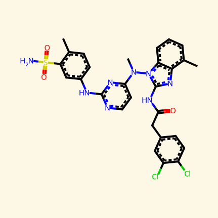 Cc1ccc(Nc2nccc(N(C)n3c(NC(=O)Cc4ccc(Cl)c(Cl)c4)nc4c(C)cccc43)n2)cc1S(N)(=O)=O